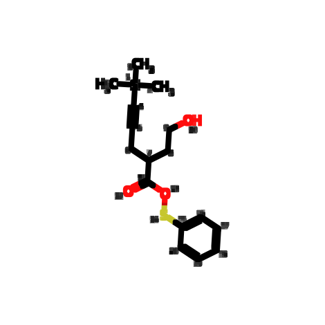 C[Si](C)(C)C#CCC(CCO)C(=O)OSc1ccccc1